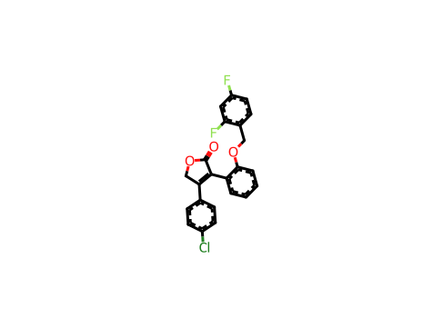 O=C1OCC(c2ccc(Cl)cc2)=C1c1ccccc1OCc1ccc(F)cc1F